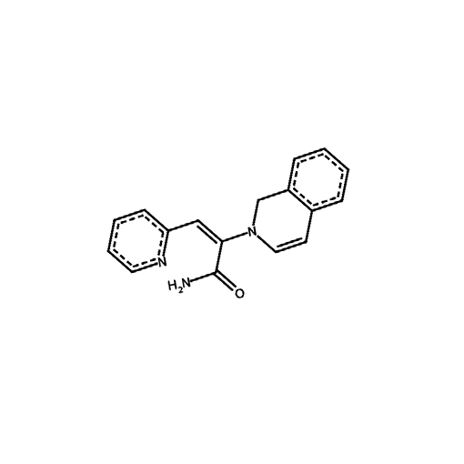 NC(=O)C(=Cc1ccccn1)N1C=Cc2ccccc2C1